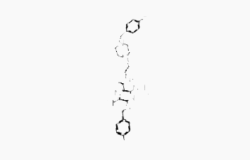 Nc1nc(NCc2ccc(I)cc2)c(Cl)nc1C(=O)NCCN1CCN(Cc2ccc(F)cc2)CC1